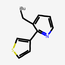 C[CH]C(C)Cc1cccnc1-c1ccsc1